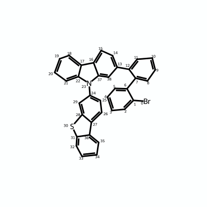 Brc1ccccc1-c1ccccc1-c1ccc2c3ccccc3n(-c3ccc4c(c3)sc3ccccc34)c2c1